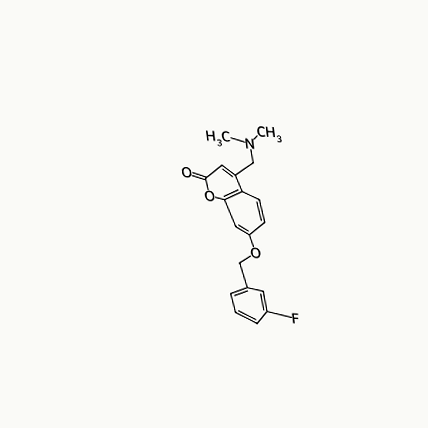 CN(C)Cc1cc(=O)oc2cc(OCc3cccc(F)c3)ccc12